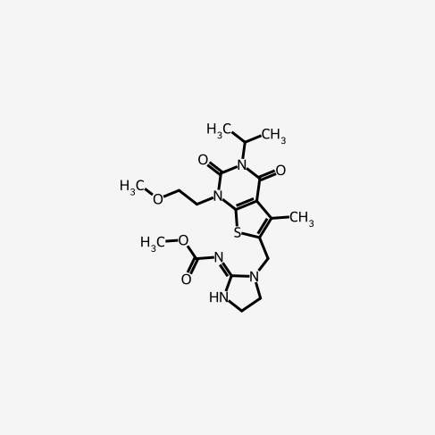 COCCn1c(=O)n(C(C)C)c(=O)c2c(C)c(CN3CCNC3=NC(=O)OC)sc21